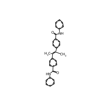 C/C(=C(/C)c1ccc(C(=O)Nc2ccccc2)cc1)c1ccc(C(=O)Nc2ccccc2)cc1